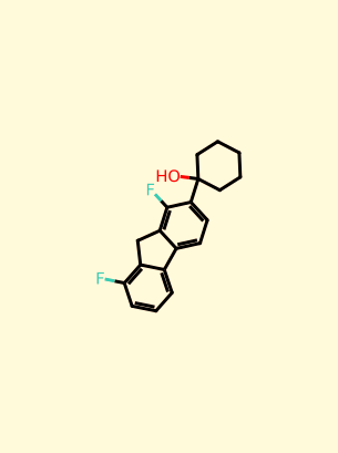 OC1(c2ccc3c(c2F)Cc2c(F)cccc2-3)CCCCC1